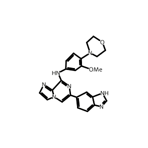 COc1cc(Nc2nc(-c3ccc4nc[nH]c4c3)cn3ccnc23)ccc1N1CCOCC1